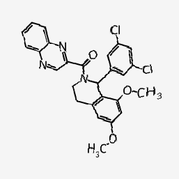 COc1cc2c(c(OC)c1)C(c1cc(Cl)cc(Cl)c1)N(C(=O)c1cnc3ccccc3n1)CC2